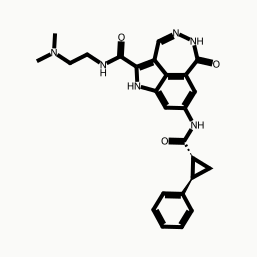 CN(C)CCNC(=O)c1[nH]c2cc(NC(=O)[C@@H]3C[C@H]3c3ccccc3)cc3c2c1C=NNC3=O